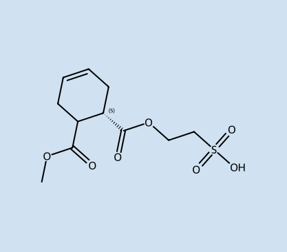 COC(=O)C1CC=CC[C@@H]1C(=O)OCCS(=O)(=O)O